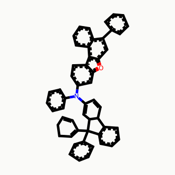 C1=CC(C2(c3ccccc3)c3ccccc3C3C=CC(N(c4ccccc4)c4ccc5c(c4)oc4cc(-c6ccccc6)c6ccccc6c45)=CC32)=CCC1